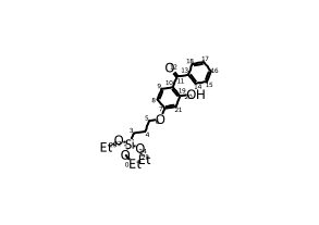 CCO[Si](CCCOc1ccc(C(=O)c2ccccc2)c(O)c1)(OCC)OCC